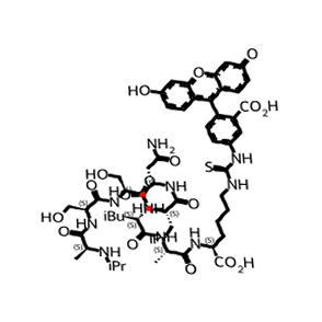 CC[C@H](C)[C@H](NC(=O)[C@H](CC(N)=O)NC(=O)[C@H](CC(C)C)NC(=O)[C@H](CO)NC(=O)[C@H](CO)NC(=O)[C@H](C)NC(C)C)C(=O)N[C@@H](C)C(=O)N[C@@H](CCCCNC(=S)Nc1ccc(-c2c3ccc(=O)cc-3oc3cc(O)ccc23)c(C(=O)O)c1)C(=O)O